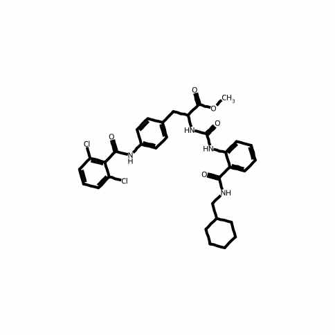 COC(=O)C(Cc1ccc(NC(=O)c2c(Cl)cccc2Cl)cc1)NC(=O)Nc1ccccc1C(=O)NCC1CCCCC1